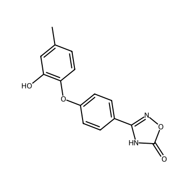 Cc1ccc(Oc2ccc(-c3noc(=O)[nH]3)cc2)c(O)c1